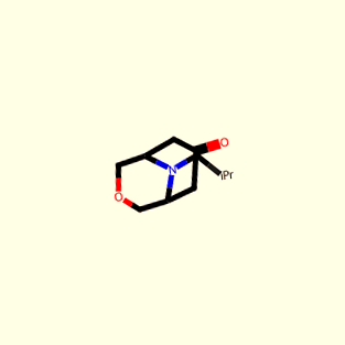 CC(C)CN1C2COCC1CC(=O)C2